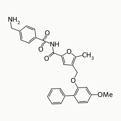 COc1ccc(-c2ccccc2)c(OCc2cc(C(=O)NS(=O)(=O)c3ccc(CN)cc3)oc2C)c1